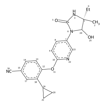 CC[C@@]1(C)NC(=O)N(c2ccc(Oc3ccc(C#N)cc3C3CC3)nc2)C1O